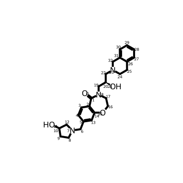 O=C1c2ccc(CN3CCC(O)C3)cc2OCCN1C[C@H](O)CN1CCc2ccccc2C1